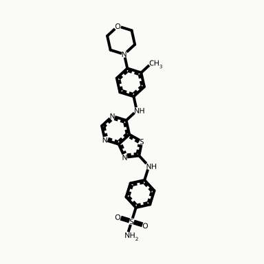 Cc1cc(Nc2ncnc3nc(Nc4ccc(S(N)(=O)=O)cc4)sc23)ccc1N1CCOCC1